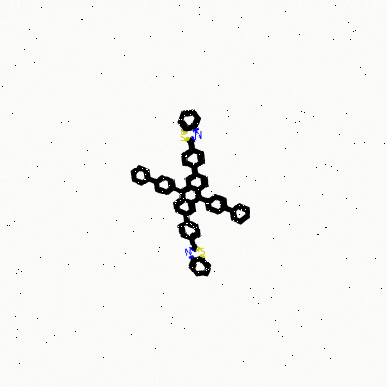 c1ccc(-c2ccc(-c3c4ccc(-c5ccc(-c6nc7ccccc7s6)cc5)cc4c(-c4ccc(-c5ccccc5)cc4)c4ccc(-c5ccc(-c6nc7ccccc7s6)cc5)cc34)cc2)cc1